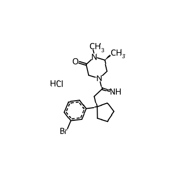 C[C@H]1CN(C(=N)CC2(c3cccc(Br)c3)CCCC2)CC(=O)N1C.Cl